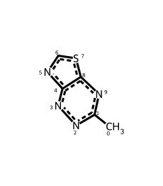 Cc1nnc2ncsc2n1